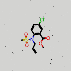 C=CCN(c1ccc(Cl)cc1C(=O)OC)S(C)(=O)=O